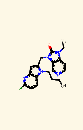 N#CCCCn1c(Cn2c(=O)n(CC(F)(F)F)c3ccncc32)cc2nc(Cl)ccc21